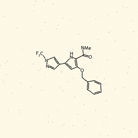 CNC(=O)c1[nH]c(-c2cnn(C(F)(F)F)c2)cc1OCc1ccccc1